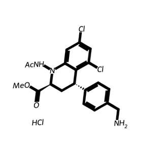 COC(=O)[C@@H]1C[C@@H](c2ccc(CN)cc2)c2c(Cl)cc(Cl)cc2N1NC(C)=O.Cl